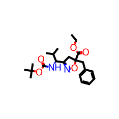 CCOC(=O)C1(Cc2ccccc2)CC([C@@H](NC(=O)OC(C)(C)C)C(C)C)=NO1